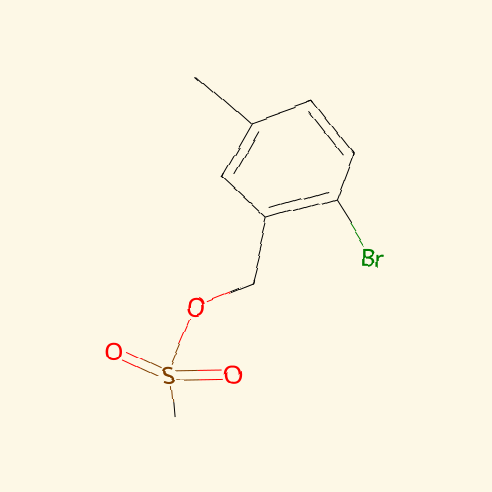 Cc1ccc(Br)c(COS(C)(=O)=O)c1